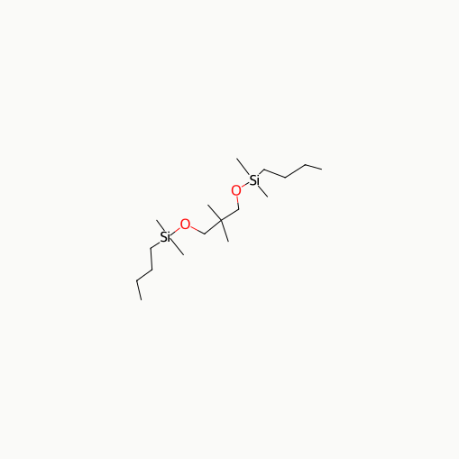 CCCC[Si](C)(C)OCC(C)(C)CO[Si](C)(C)CCCC